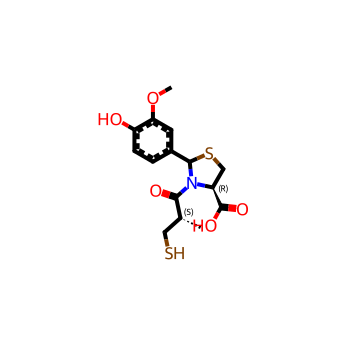 COc1cc(C2SC[C@@H](C(=O)O)N2C(=O)[C@H](C)CS)ccc1O